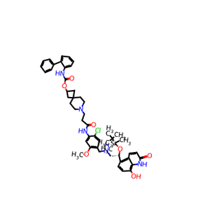 COc1cc(NC(=O)CCN2CCC3(CC2)CC(OC(=O)Nc2ccccc2-c2ccccc2)C3)c(Cl)cc1CNC[C@H](O[Si](C)(C)C(C)(C)C)c1ccc(O)c2[nH]c(=O)ccc12